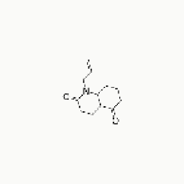 C=CCN1C(=O)CCC2C(=O)CCCC21